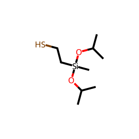 CC(C)O[Si](C)(CCS)OC(C)C